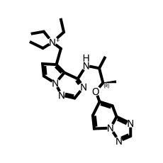 CC[N+](CC)(CC)Cc1ccn2ncnc(NC(C)[C@@H](C)Oc3ccn4ncnc4c3)c12